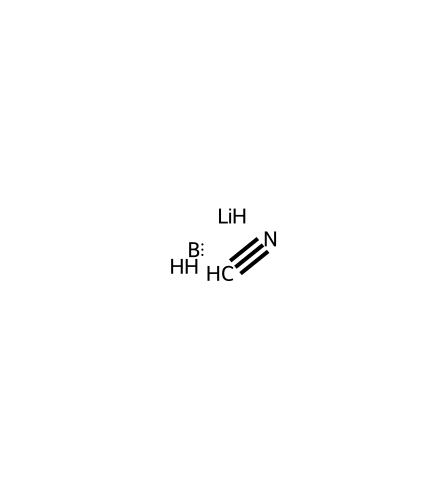 C#N.[B].[HH].[LiH]